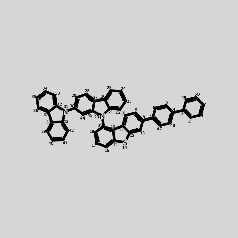 c1ccc(-c2ccc(-c3ccc4c(c3)sc3cccc(-n5c6ccccc6c6ccc(-n7c8ccccc8c8ccccc87)cc65)c34)cc2)cc1